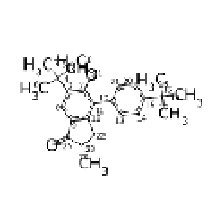 COc1c(C(C)(C)C)cc2c(c1-c1ccc(C(C)(C)C)cc1)C[C@H](C)C2=O